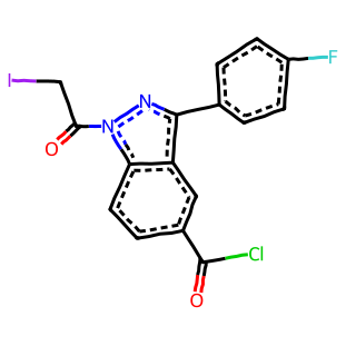 O=C(Cl)c1ccc2c(c1)c(-c1ccc(F)cc1)nn2C(=O)CI